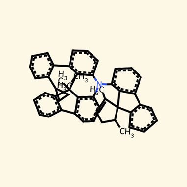 CC1=CCC(C)C12c1ccccc1-c1cccc(N(c3cccc(-c4ccccc4C4CC4)c3C)c3cccc4c3C(C)(C)c3ccccc3-4)c12